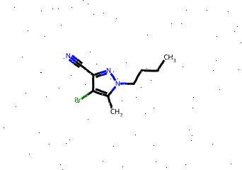 CCCCn1nc(C#N)c(Br)c1C